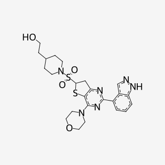 O=S(=O)(C1Cc2nc(-c3cccc4[nH]ncc34)nc(N3CCOCC3)c2S1)N1CCC(CCO)CC1